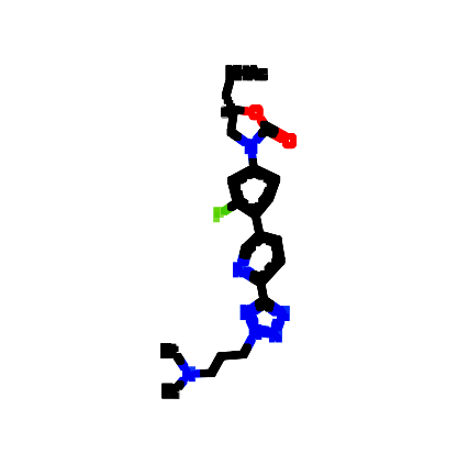 CCN(CC)CCCn1nnc(-c2ccc(-c3ccc(N4C[C@H](CNC(C)=O)OC4=O)cc3F)cn2)n1